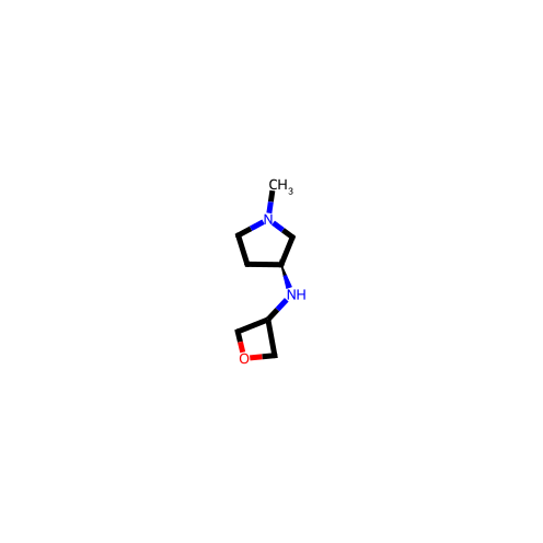 CN1CC[C@H](NC2COC2)C1